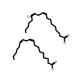 CCCCC/C=C\C/C=C\CCCCCCCC(=O)[O-].CCCCC/C=C\C/C=C\CCCCCCCC(=O)[O-].[Co+2]